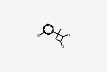 [CH2]C1(c2cccc(Cl)c2)SC(Cl)C1Cl